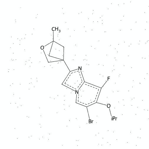 CC(C)Oc1c(Br)cn2cc(C34COC(C)(C3)C4)nc2c1F